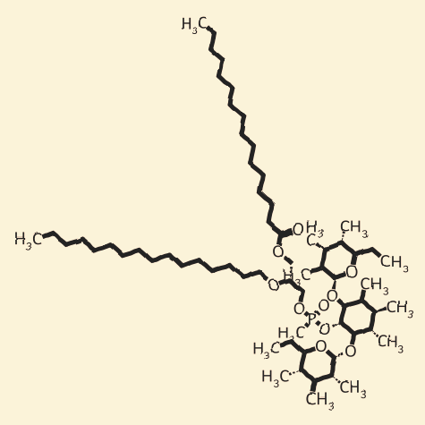 CCCCCCCCCCCCCCCCO[C@H](COC(=O)CCCCCCCCCCCCCCC)COP(C)(=O)O[C@@H]1C(O[C@@H]2OC(CC)[C@@H](C)[C@H](C)C2C)C(C)[C@@H](C)[C@H](C)C1O[C@H]1OC(CC)[C@@H](C)C(C)[C@H]1C